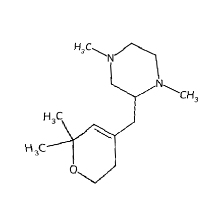 CN1CCN(C)C(CC2=CC(C)(C)OCC2)C1